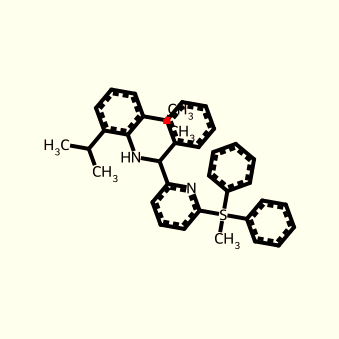 CC(C)c1cccc(C(C)C)c1NC(c1ccccc1)c1cccc(S(C)(c2ccccc2)c2ccccc2)n1